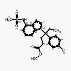 CCC(CCC(=O)OC)(c1ccc(Cl)cc1)n1ccc2c(NS(C)(=O)=O)cccc21